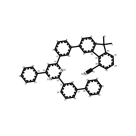 CC1(C)c2ccc(-c3cccc(-c4cc(-c5ccccc5)nc(-c5cccc(-c6ccccc6)c5)n4)c3)cc2-c2c(C#N)cccc21